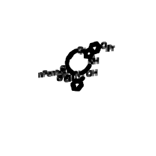 CCCCCS(=O)(=O)N(C)[C@H]1CCC=CCO[C@@H]2C[C@H](NC[C@@H](O)[C@H](Cc3ccccc3)NC1=O)c1cc(OC(C)C)ccc12